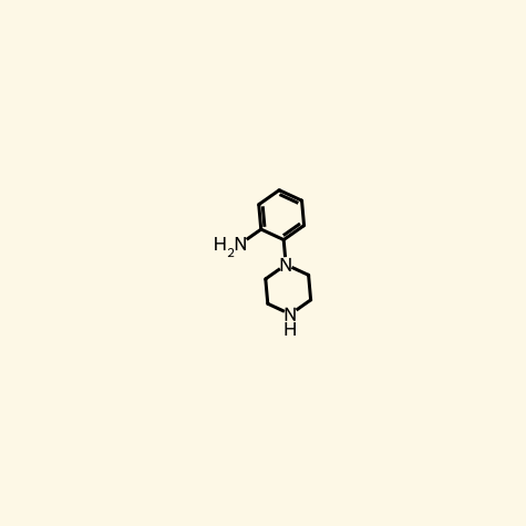 Nc1ccccc1N1CCNCC1